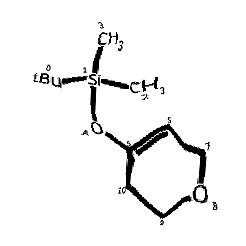 CC(C)(C)[Si](C)(C)OC1=CCOCC1